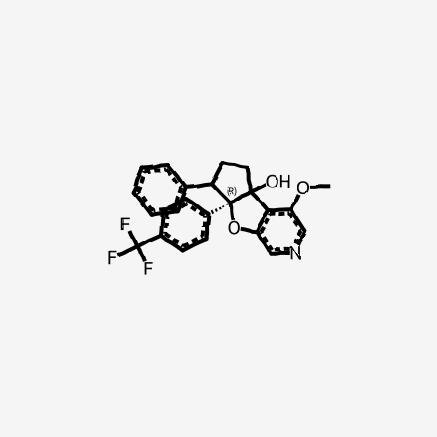 COc1cncc2c1C1(O)CCC(c3ccccc3)[C@]1(c1ccc(C(F)(F)F)cc1)O2